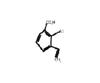 C=Cc1cccc(C(=O)O)c1CC